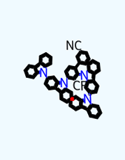 N#Cc1cccc(-c2ccc(-n3c4ccccc4c4ccc(-n5c6ccccc6c6ccccc65)cc43)c(C(F)(F)F)c2-n2c3ccccc3c3ccc(-n4c5ccccc5c5ccccc54)cc32)c1